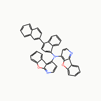 c1ccc2cc(-c3ccc(N(c4ccnc5c4oc4ccccc45)c4ccnc5oc6ccccc6c45)c4ccccc34)ccc2c1